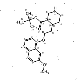 COc1ccc2nccc(OCC[C@@H]3CCNC[C@@H]3C(=O)OC(C)(C)C)c2c1